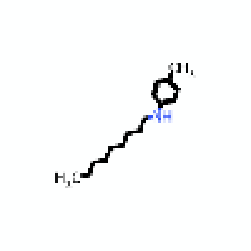 CCCCCCCCCNc1ccc(C)cc1